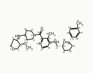 CO[C@H]1COCC[C@H]1NC1CCN(C(=O)c2nccc(NC[C@H]3CCC[C@@H](c4ccc(C)cc4)O3)c2C)CC1